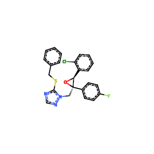 Fc1ccc([C@@]2(Cn3ncnc3SCc3ccccc3)O[C@H]2c2ccccc2Cl)cc1